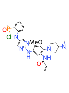 C=CC(=O)Nc1cc(Nc2ncc(N(Cl)c3ccccc3P(C)(C)=O)cn2)c(OC)cc1N1CCC(N(C)C)CC1